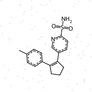 Cc1ccc(C2=C(c3ccc(S(N)(=O)=O)nc3)CCC2)cc1